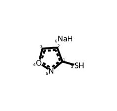 Sc1ccon1.[NaH]